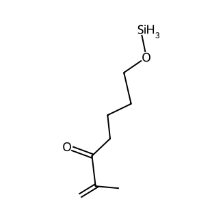 C=C(C)C(=O)CCCCO[SiH3]